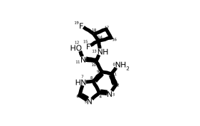 Nc1cnc2nc[nH]c2c1C(=NO)NC1(F)CCC1F